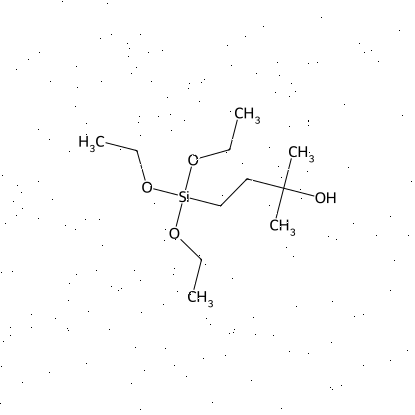 CCO[Si](CCC(C)(C)O)(OCC)OCC